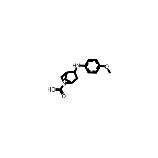 COc1ccc(NC2CC3CC2CN3C(=O)O)cc1